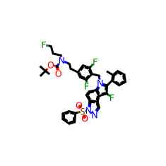 Cc1ccccc1-c1c(F)c2c3cnn(S(=O)(=O)c4ccccc4)c3ccc2n1Cc1c(F)cc(CCN(CCCF)C(=O)OC(C)(C)C)cc1F